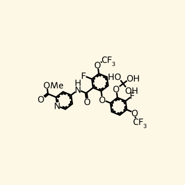 COC(=O)c1cc(NC(=O)c2c(Oc3ccc(OC(F)(F)F)c(F)c3OC(O)(O)O)ccc(OC(F)(F)F)c2F)ccn1